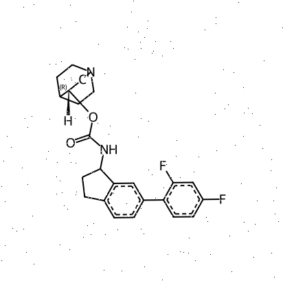 O=C(NC1CCc2ccc(-c3ccc(F)cc3F)cc21)O[C@H]1CN2CCC1CC2